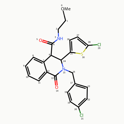 COCCNC(=O)C1c2ccccc2C(=O)N(Cc2ccc(Cl)cc2)C1c1ccc(Cl)s1